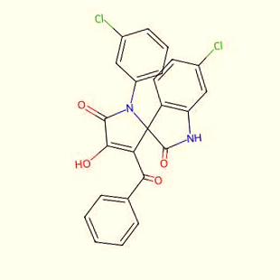 O=C(C1=C(O)C(=O)N(c2cccc(Cl)c2)C12C(=O)Nc1cc(Cl)ccc12)c1ccccc1